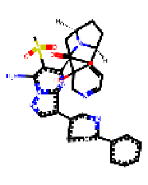 CS(=O)(=O)c1c([C@H]2C[C@H]3CC[C@@H](C2)N3C(=O)C2(O)C=CC=NC2)nc2c(-c3ccc(-c4ccccc4)nc3)cnn2c1N